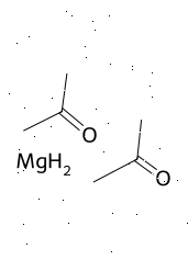 CC(C)=O.CC(C)=O.[MgH2]